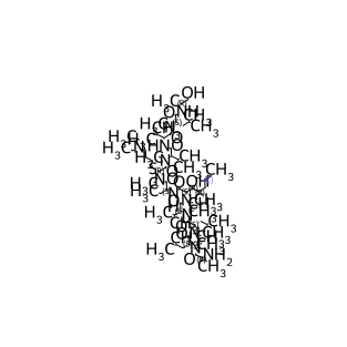 C/C=C/C[C@@H](C)[C@@H](O)[C@@H](C(=O)N[C@@H](CC)C(=O)N(C)[C@H](SCCCN(CC)CC)C(=O)N(C)C(C(=O)NC(C(=O)N(C)[C@@H](CC(C)C)C(=O)N[C@H](C)CO)C(C)C)C(C)C)N(C)C(=O)[C@H](C(C)C)N(C)C(=O)[C@H](CC(C)C)N(C)C(=O)[C@H](CC(C)C)N(C)C(=O)[C@@H](C)N